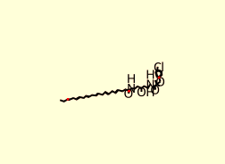 CCC=CCC=CCC=CCC=CCC=CCC=CCCC(=O)NCCC(O)CCNC(=O)C(C)(C)Oc1ccc(Cl)cc1